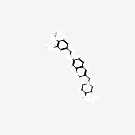 CCOC(=O)C1CCN(CC2=Cc3ccc(OCc4ccc(OC(C)C)c(C#N)c4)cc3OC2)CC1